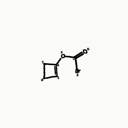 O=C(Br)OC1=CCC1